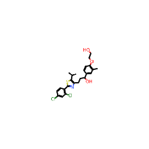 Cc1cc(C(O)CCc2nc(-c3ccc(Cl)cc3Cl)sc2C(C)C)ccc1OCCO